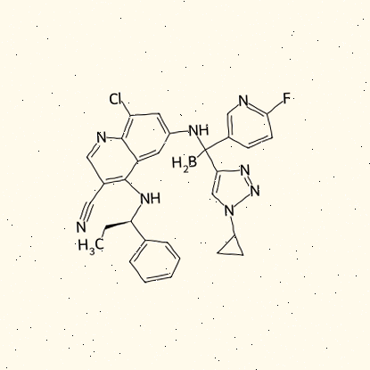 BC(Nc1cc(Cl)c2ncc(C#N)c(N[C@H](CC)c3ccccc3)c2c1)(c1ccc(F)nc1)c1cn(C2CC2)nn1